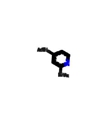 CC(=O)Nc1ccnc(NC(C)=O)c1